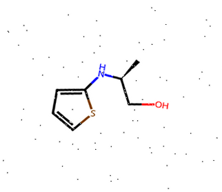 C[C@@H](CO)Nc1cccs1